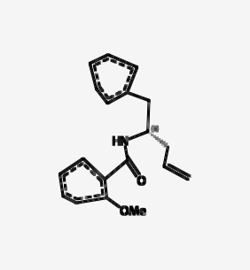 C=CC[C@@H](Cc1ccccc1)NC(=O)c1ccccc1OC